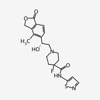 Cc1c([C@@H](O)CN2CCC(F)(C(=O)Nc3ccns3)CC2)ccc2c1COC2=O